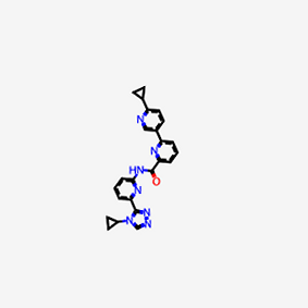 O=C(Nc1cccc(-c2nncn2C2CC2)n1)c1cccc(-c2ccc(C3CC3)nc2)n1